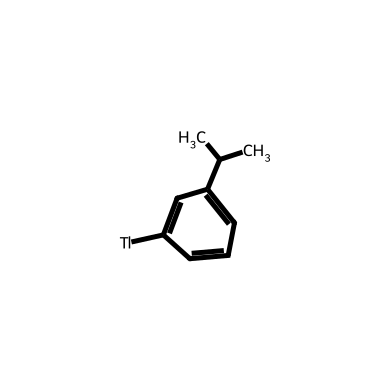 CC(C)c1ccc[c]([Tl])c1